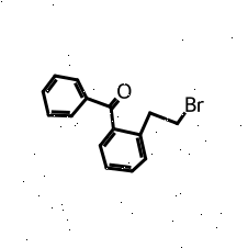 O=C(c1ccccc1)c1ccccc1CCBr